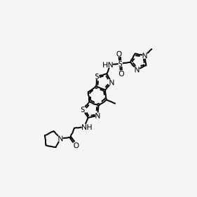 Cc1c2nc(NCC(=O)N3CCCC3)sc2cc2sc(NS(=O)(=O)c3cn(C)cn3)nc12